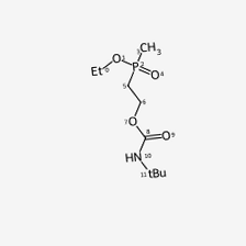 CCOP(C)(=O)CCOC(=O)NC(C)(C)C